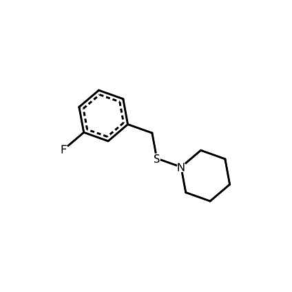 Fc1cccc(CSN2CCCCC2)c1